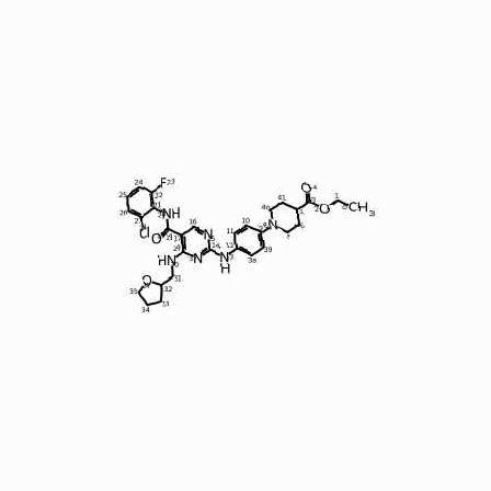 CCOC(=O)C1CCN(c2ccc(Nc3ncc(C(=O)Nc4c(F)cccc4Cl)c(NCC4CCCO4)n3)cc2)CC1